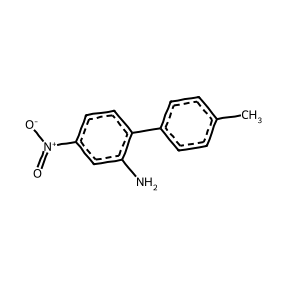 Cc1ccc(-c2ccc([N+](=O)[O-])cc2N)cc1